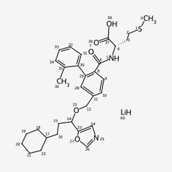 CSCC[C@H](NC(=O)c1ccc(COC(CCC2CCCCC2)c2cnco2)cc1-c1ccccc1C)C(=O)O.[LiH]